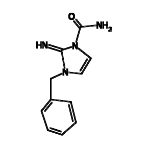 N=c1n(Cc2ccccc2)ccn1C(N)=O